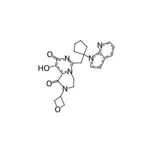 O=C1c2c(O)c(=O)nc(CC3(n4ccc5cccnc54)CCCC3)n2CCN1C1COC1